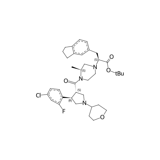 C[C@H]1CN([C@@H](Cc2ccc3c(c2)CCC3)C(=O)OC(C)(C)C)CCN1C(=O)[C@@H]1CN(C2CCOCC2)C[C@H]1c1ccc(Cl)cc1F